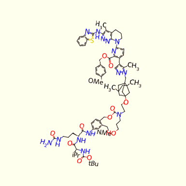 CNCc1cc(NC(=O)[C@H](CCCNC(N)=O)NC(=O)[C@@H](NC(=O)OC(C)(C)C)C(C)C)ccc1COC(=O)N(CCCO)CCOC12CC3(C)CC(C)(C1)C(Cn1ncc(-c4ccc(N5CCCc6c5nnc(Nc5nc7ccccc7s5)c6C)nc4C(=O)OCc4ccc(OC)cc4)c1C)(C3)C2